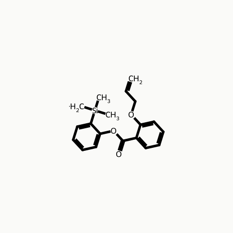 [CH2][Si](C)(C)c1ccccc1OC(=O)c1ccccc1OCC=C